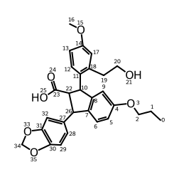 CCCOc1ccc2c(c1)C(c1ccc(OC)cc1CCO)C(C(=O)O)C2c1ccc2c(c1)OCO2